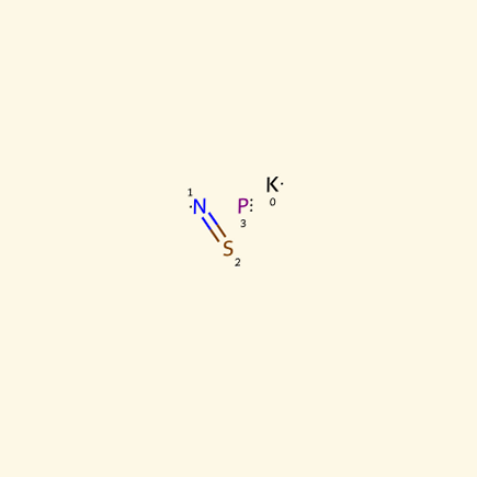 [K].[N]=S.[P]